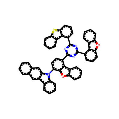 c1ccc2cc3c(cc2c1)c1ccccc1n3-c1ccc(-c2nc(-c3cccc4oc5ccccc5c34)nc(-c3cccc4sc5ccccc5c34)n2)c2c1oc1ccccc12